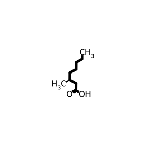 CCCCC[C@H](C)CC(=O)O